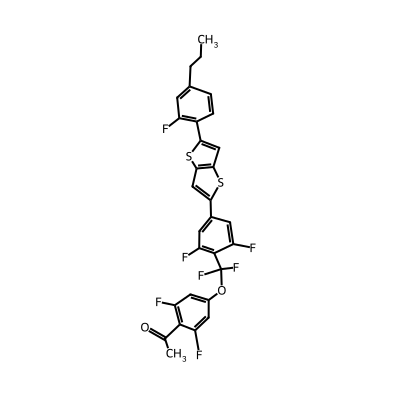 CCCc1ccc(-c2cc3sc(-c4cc(F)c(C(F)(F)Oc5cc(F)c(C(C)=O)c(F)c5)c(F)c4)cc3s2)c(F)c1